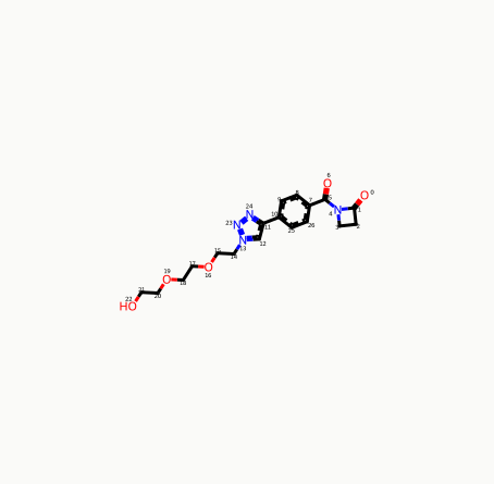 O=C1CCN1C(=O)c1ccc(-c2cn(CCOCCOCCO)nn2)cc1